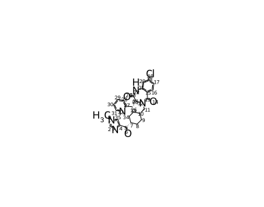 Cn1cnc(C(=O)[C@H]2CC[C@H](CN3C(=O)c4ccc(Cl)cc4NC(=O)[C@H]3Cc3ccccn3)CC2)c1